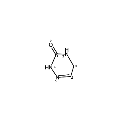 O=C1NC[C]=NN1